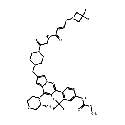 COC(=O)Nc1cc(C(F)(F)F)c(-c2nc(N3CCOC[C@@H]3C)c3cc(CN4CCN(C(=O)CNC(=O)/C=C/CN5CC(F)(F)C5)CC4)cn3n2)cn1